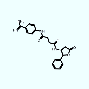 N=C(N)c1ccc(NC(=O)CCC(=O)N[C@H]2CC(=O)OC2c2ccccc2)cc1